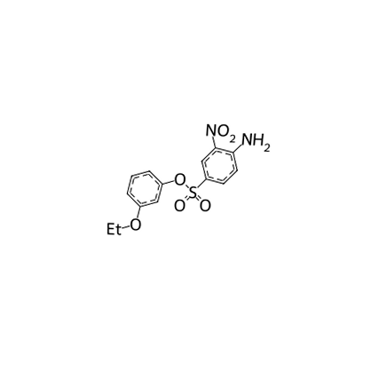 CCOc1cccc(OS(=O)(=O)c2ccc(N)c([N+](=O)[O-])c2)c1